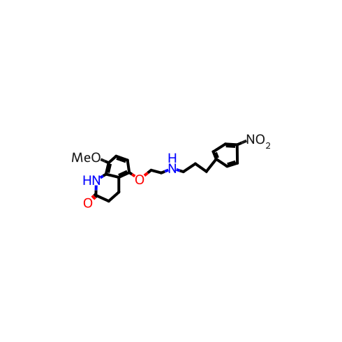 COc1ccc(OCCNCCCc2ccc([N+](=O)[O-])cc2)c2c1NC(=O)CC2